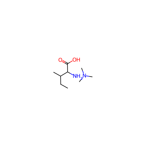 CCC(C)C(N)C(=O)O.CN(C)C